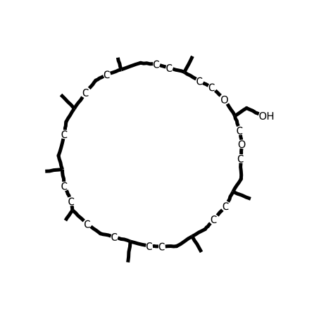 CC1CCCC(C)CCCC(C)CCC(C)CCCC(C)CCCC(C)CCCC(C)CCOC(CO)COCCC(C)CCC1